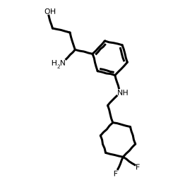 NC(CCO)c1cccc(NCC2CCC(F)(F)CC2)c1